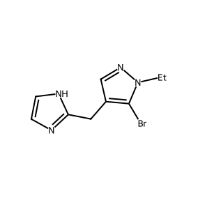 CCn1ncc(Cc2ncc[nH]2)c1Br